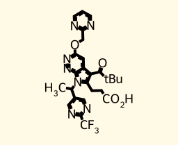 CC(c1cnc(C(F)(F)F)nc1)n1c(CCC(=O)O)c(C(=O)C(C)(C)C)c2cc(OCc3ncccn3)nnc21